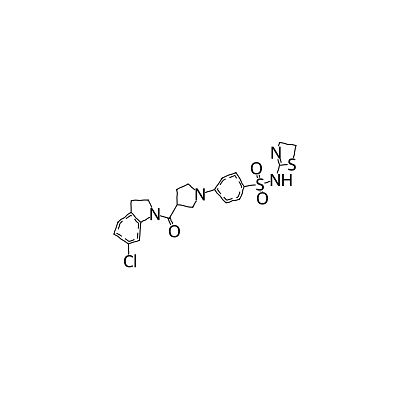 O=C(C1CCN(c2ccc(S(=O)(=O)NC3=NCCS3)cc2)C1)N1CCc2ccc(Cl)cc21